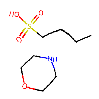 C1COCCN1.CCCCS(=O)(=O)O